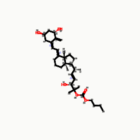 C=C1/C(=C\C=C2/CCC[C@]3(C)[C@@H]([C@H](C)/C=C/[C@@H](O)C(C)(C)OC(=O)OCCCC)CC[C@@H]23)C[C@@H](O)C[C@@H]1O